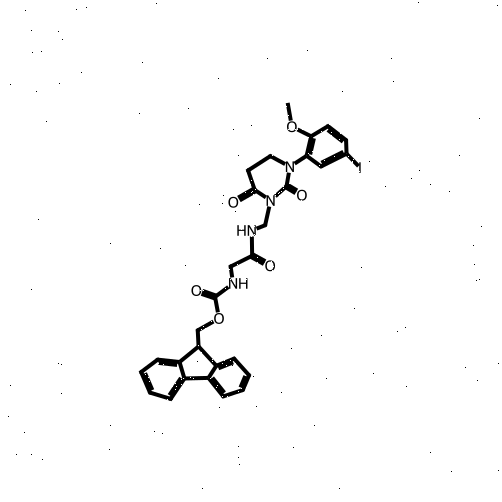 COc1ccc(I)cc1N1CCC(=O)N(CNC(=O)CNC(=O)OCC2c3ccccc3-c3ccccc32)C1=O